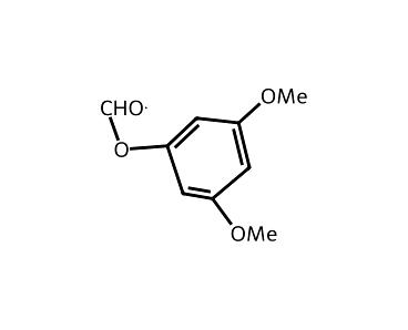 COc1cc(OC)cc(O[C]=O)c1